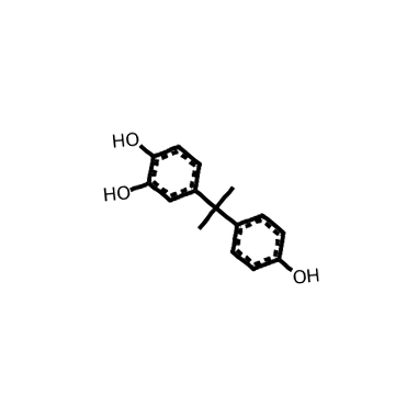 CC(C)(c1ccc(O)cc1)c1ccc(O)c(O)c1